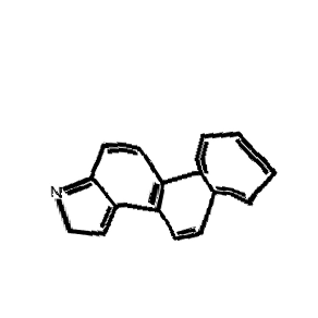 C1=c2c(ccc3c2ccc2ccccc23)=NC1